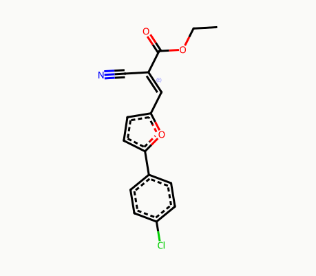 CCOC(=O)/C(C#N)=C/c1ccc(-c2ccc(Cl)cc2)o1